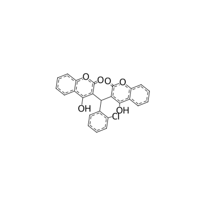 O=c1oc2ccccc2c(O)c1C(c1ccccc1Cl)c1c(O)c2ccccc2oc1=O